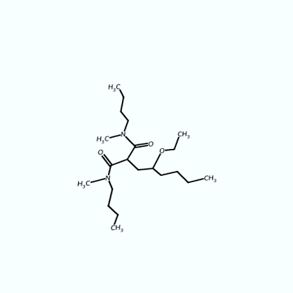 CCCCC(CC(C(=O)N(C)CCCC)C(=O)N(C)CCCC)OCC